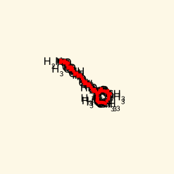 CO[C@H]1CC2CCC[C@@](O)(O2)C(=O)C(=O)N2CCCC[C@H]2C(=O)O[C@H](CC[C@H]2CC[C@H](OC(=O)NCc3cnc(N4CCN(C(=O)CCOCCN5CCN(c6ncc(C(=O)NCCS(=O)(=O)c7ccc(C(=O)N8CCOc9ccc(-c%10ccc(N)nc%10)cc9C8)c(C)c7)cn6)CC5)CC4)nc3)CC2)CC[C@H](C)/C=C(\C)[C@@H](O)[C@@H](OC)C(=O)[C@H](C)C[C@H](C)/C=C/C=C/C=C/1C